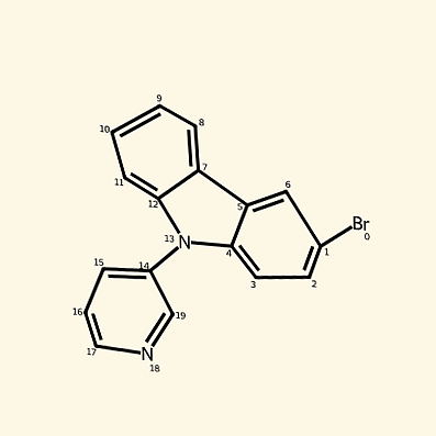 Brc1ccc2c(c1)c1ccccc1n2-c1cccnc1